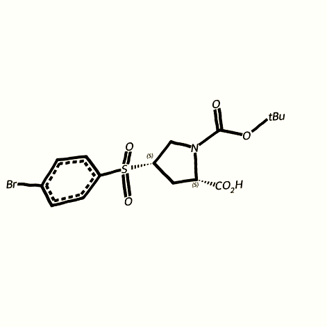 CC(C)(C)OC(=O)N1C[C@@H](S(=O)(=O)c2ccc(Br)cc2)C[C@H]1C(=O)O